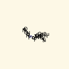 CC(C)(C)OC(=O)N(COCC[Si](C)(C)C)C1=NC(C)(c2cc(/C=C(\F)c3cnc(OCc4ncco4)cn3)ccc2F)C2CC2(C(=O)O)S1